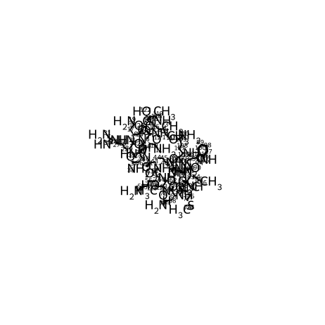 CC[C@H](C)[C@H](NC(=O)[C@H](CC(N)=O)NC(=O)[C@H](CC(N)=O)NC(=O)[C@H](CCCNC(=N)N)NC(=O)[C@H](CC(N)=O)NC(=O)[C@H](CCCNC(=N)N)NC(=O)[C@H](CCCCN)NC(=O)[C@@H](NC(=O)[C@H](CC(N)=O)NC(=O)[C@H](CCSC)NC(=O)[C@H](CC(C)C)NC(=O)[C@H](Cc1c[nH]c2ccccc12)NC(=O)[C@@H](N)CCC(N)=O)[C@@H](C)O)C(=O)N[C@@H](C)C(=O)O